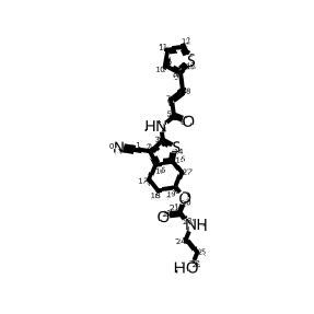 N#Cc1c(NC(=O)C=Cc2cccs2)sc2c1CCC(OC(=O)NCCO)C2